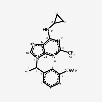 CCC(c1cccc(OC)c1)n1cnc2c(NC3CC3)nc(C(F)(F)F)nc21